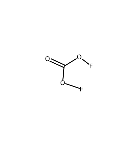 O=C(OF)OF